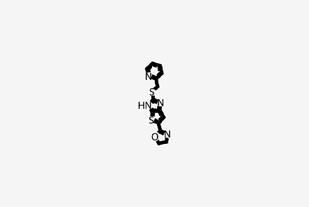 c1ccc(CSc2nc3cc(C4=NCCO4)sc3[nH]2)nc1